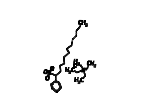 CCCCCCCCCCCCC(c1ccccc1)S(=O)(=O)[O-].CC[N+](CC)(CC)CC